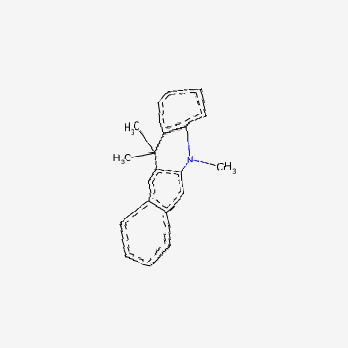 CN1c2ccccc2C(C)(C)c2cc3ccccc3cc21